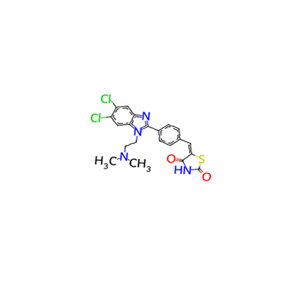 CN(C)CCn1c(-c2ccc(C=C3SC(=O)NC3=O)cc2)nc2cc(Cl)c(Cl)cc21